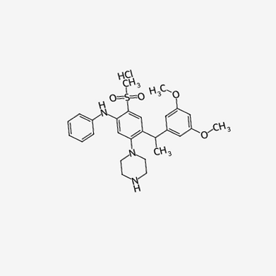 COc1cc(OC)cc(C(C)c2cc(S(C)(=O)=O)c(Nc3ccccc3)cc2N2CCNCC2)c1.Cl